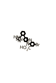 CN(c1ccc(-c2ccccc2-c2nnn[nH]2)cc1)c1c(C(=O)O)cc(Br)cc1[N+](=O)[O-]